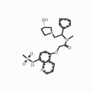 CN(C(=O)COc1ccc(NS(C)(=O)=O)c2ncccc12)C(CN1CC[C@H](O)C1)c1ccccc1